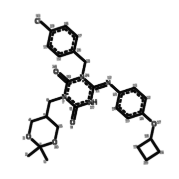 CC1(C)OCC(Cn2c(=O)[nH]/c(=N\c3ccc(OC4CCC4)cc3)n(Cc3ccc(Cl)cc3)c2=O)CO1